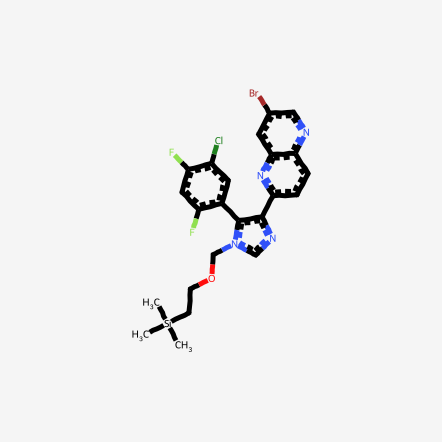 C[Si](C)(C)CCOCn1cnc(-c2ccc3ncc(Br)cc3n2)c1-c1cc(Cl)c(F)cc1F